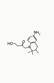 CC1Cc2cc(N)ccc2N(CC(=O)CCO)C1(C)C